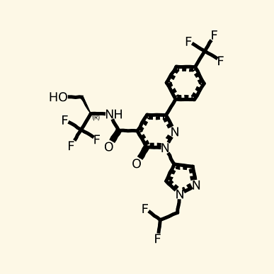 O=C(N[C@H](CO)C(F)(F)F)c1cc(-c2ccc(C(F)(F)F)cc2)nn(-c2cnn(CC(F)F)c2)c1=O